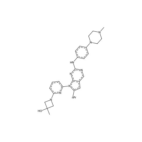 CCCc1cc2cnc(Nc3ccc(N4CCN(C)CC4)cc3)nc2n1-c1cccc(N2CC(C)(O)C2)n1